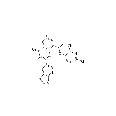 Cc1cc([C@@H](C)Oc2ccc(Cl)nc2C#N)c2oc(-c3cnc4scnc4c3)c(C)c(=O)c2c1